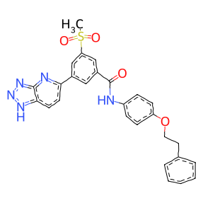 CS(=O)(=O)c1cc(C(=O)Nc2ccc(OCCc3ccccc3)cc2)cc(-c2ccc3[nH]nnc3n2)c1